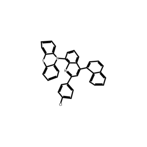 Clc1ccc(-c2cc(-c3cccc4ccccc34)c3cccc(N4c5ccccc5Sc5ccccc54)c3n2)cc1